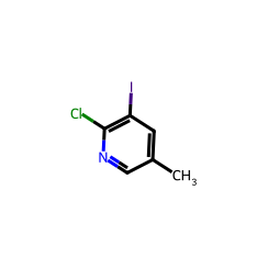 Cc1cnc(Cl)c(I)c1